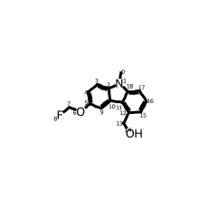 Cn1c2ccc(OCF)cc2c2c(CO)cccc21